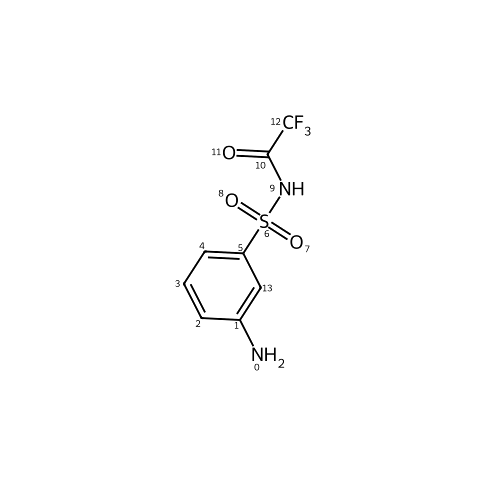 Nc1cccc(S(=O)(=O)NC(=O)C(F)(F)F)c1